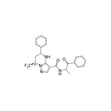 CC(NC(=O)c1cnn2c1NC(c1ccccc1)C[C@@H]2C(F)(F)F)C(=O)c1ccccc1